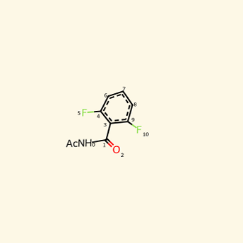 CC(=O)NC(=O)c1c(F)cccc1F